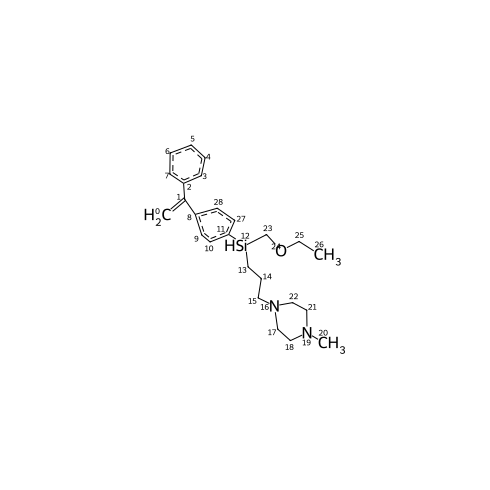 C=C(c1ccccc1)c1ccc([SiH](CCCN2CCN(C)CC2)COCC)cc1